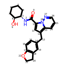 O=C(N[C@H]1CCCC[C@@H]1O)c1cc(Cc2ccc3c(c2)CCO3)c2cccnn12